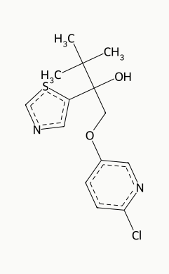 CC(C)(C)C(O)(COc1ccc(Cl)nc1)c1cncs1